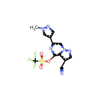 Cn1cc(-c2cn3ncc(C#N)c3c(OS(=O)(=O)C(F)(F)F)n2)cn1